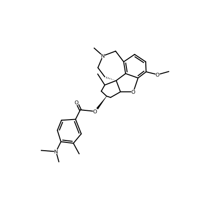 COc1ccc2c3c1OC1C[C@@H](OC(=O)c4ccc(N(C)C)c(C)c4)CC(C)[C@@]31CCN(C)C2